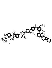 COc1ncc(-c2ccnc(N3CCc4c(sc5c4CCCC5)C3=O)c2CO)cc1Nc1ccc(N2CCN(C3CCN(c4ccc5c(c4)C(=O)N(C4CCC(=O)N(C(C)OP(=O)(O)O)C4=O)C5=O)[C@@H](C)C3)C[C@@H]2C)cn1